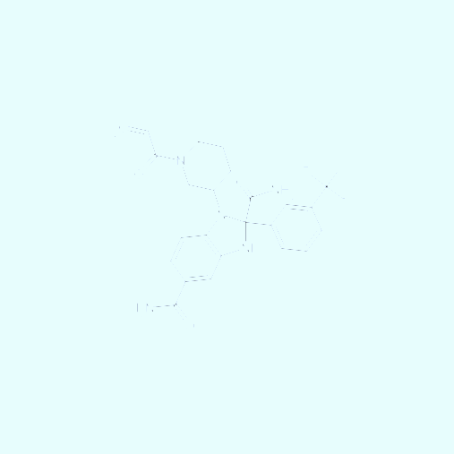 C=CC(=O)N1CCCC(N2c3ccc(C(N)=O)cc3NC2(C(N)=O)c2cccc(C(F)(F)F)c2)C1